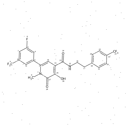 Cn1c(-c2cc(F)cc(C(F)(F)F)c2)cc(C(=O)NCCc2ccc(C(F)(F)F)cc2)c(O)c1=O